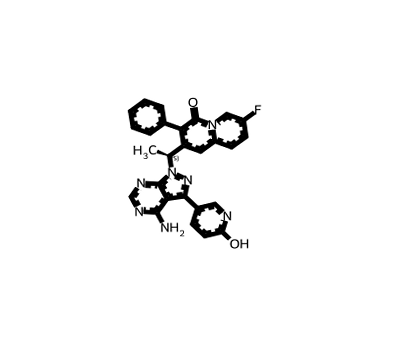 C[C@@H](c1cc2ccc(F)cn2c(=O)c1-c1ccccc1)n1nc(-c2ccc(O)nc2)c2c(N)ncnc21